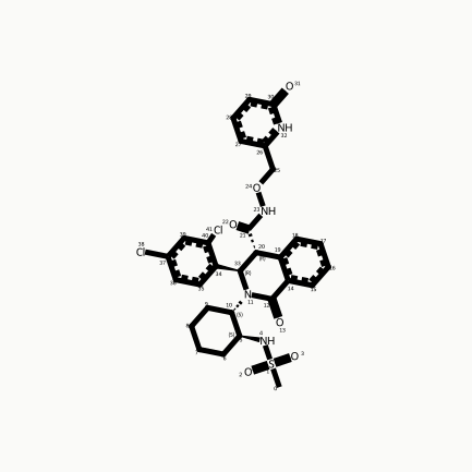 CS(=O)(=O)N[C@H]1CCCC[C@@H]1N1C(=O)c2ccccc2[C@@H](C(=O)NOCc2cccc(=O)[nH]2)[C@@H]1c1ccc(Cl)cc1Cl